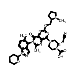 Cc1ccc2c(cnn2C2CCCCO2)c1-n1c(C)nc2c(N3CCN(C(=O)O)[C@@H](CC#N)C3)nc(OCC3CCCN3C)nc2c1=O